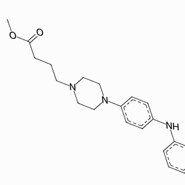 COC(=O)CCCN1CCN(c2ccc(Nc3ccccc3)cc2)CC1